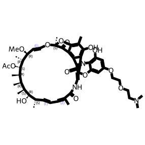 CO[C@H]1/C=C/O[C@@]2(C)Oc3c(C)c(O)c4c(=O)c(c5oc6cc(OCCOCCN(C)C)cc(O)c6nc-5c4c3C2=O)NC(=O)/C(C)=C\C=C\[C@H](C)[C@H](O)[C@@H](C)[C@@H](C)[C@@H](C)[C@H](OC(C)=O)[C@@H]1C